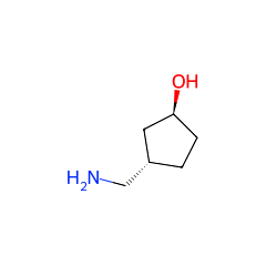 NC[C@H]1CC[C@H](O)C1